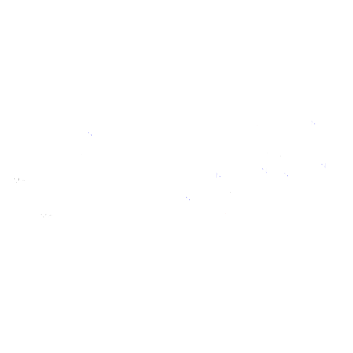 CCOc1cn(-c2nccnc2C(C)(C)O)nc1C(=O)Nc1ccc(Oc2ccnc3cc(OC)c(OC)cc23)cn1